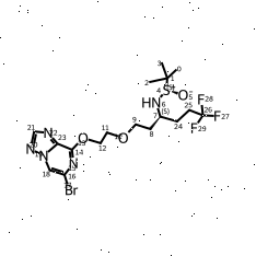 CC(C)(C)[S@@+]([O-])N[C@H](CCOCCOc1nc(Br)cn2ncnc12)CCC(F)(F)F